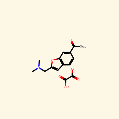 COC(=O)c1ccc2cc(CN(C)C)oc2c1.O=C(O)C(=O)O